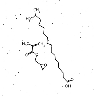 C=C(C)C(=O)OCC1CO1.CC(C)CCCCCCCCCCCCCCC(=O)O